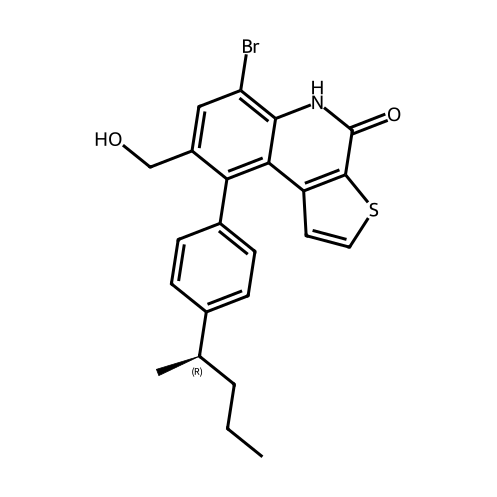 CCC[C@@H](C)c1ccc(-c2c(CO)cc(Br)c3[nH]c(=O)c4sccc4c23)cc1